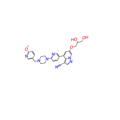 COc1ccc(CN2CCN(c3ccc(-c4cc(OCC(O)CO)cn5ncc(C#N)c45)cn3)CC2)cn1